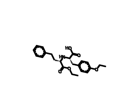 CCOC(=O)[C@H](CCc1ccccc1)N[C@@H](Cc1ccc(OCC)cc1)C(=O)O